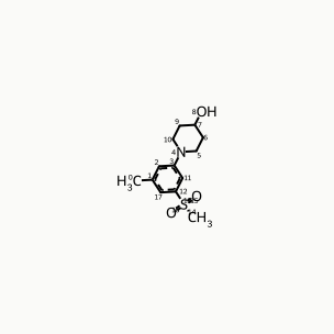 Cc1cc(N2CCC(O)CC2)cc(S(C)(=O)=O)c1